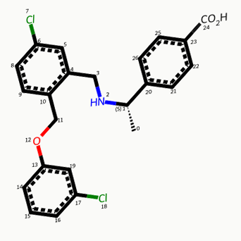 C[C@H](NCc1cc(Cl)ccc1COc1cccc(Cl)c1)c1ccc(C(=O)O)cc1